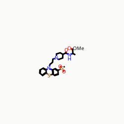 COC(=O)C(C)NC(=O)C1CCN(CCCN2c3ccccc3Sc3ccc(S(C)(=O)=O)cc32)CC1